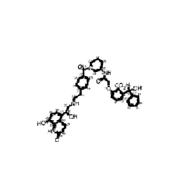 O=C(COc1cccc(C(O)(C(=O)O)c2ccccc2)c1)N[C@H]1CCCN(C(=O)c2ccc(CCNCC(O)c3ccc(O)c4[nH]c(=O)ccc34)cc2)C1